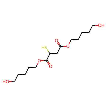 O=C(CC(S)C(=O)OCCCCCO)OCCCCCO